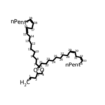 C=CCC1COC(CCCCCCCC/C=C\C/C=C\CCCCC)(CCCCCCCC/C=C\C/C=C\CCCCC)O1